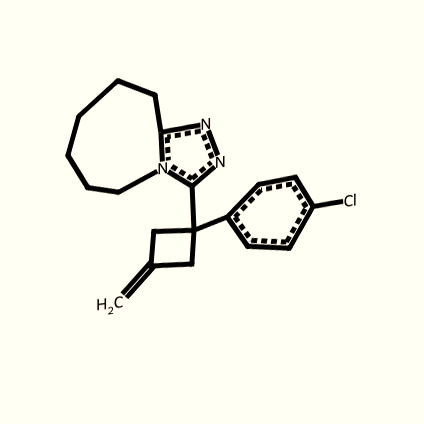 C=C1CC(c2ccc(Cl)cc2)(c2nnc3n2CCCCCC3)C1